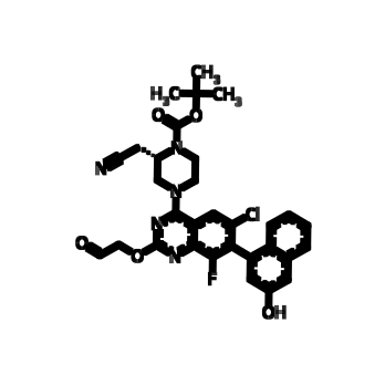 CC(C)(C)OC(=O)N1CCN(c2nc(OCC=O)nc3c(F)c(-c4cc(O)cc5ccccc45)c(Cl)cc23)C[C@@H]1CC#N